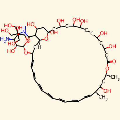 C[C@H]1CC(O)[C@@H](C)/C=C/C=C/C=C/C=C/C=C/C=C/C=C/C(O[C@@H]2OCC(O)[C@H](N)[C@@H]2O)C[C@@H]2OC(O)(CC(O)CC(O)C(O)CCC(O)CC(O)CC(=O)O1)C[C@H](O)C2C(=O)NC(CO)(CO)CO